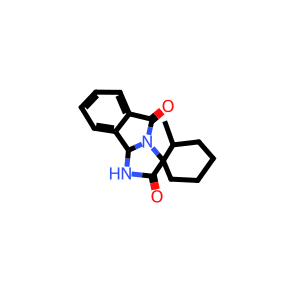 CC1CCCCC12C(=O)NC1c3ccccc3C(=O)N12